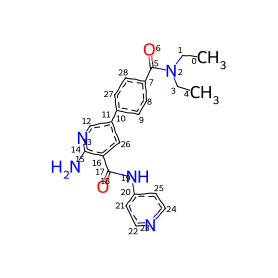 CCN(CC)C(=O)c1ccc(-c2cnc(N)c(C(=O)Nc3ccncc3)c2)cc1